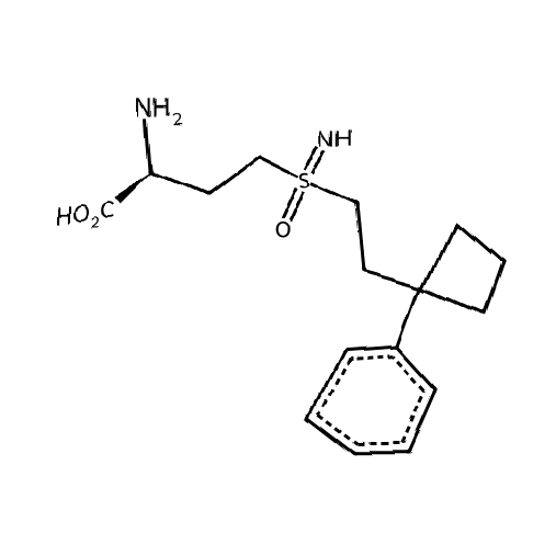 N=S(=O)(CC[C@H](N)C(=O)O)CCC1(c2ccccc2)CCC1